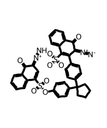 [N-]=[N+]=C1C(=O)c2ccccc2C(S(=O)(=O)[O-])=C1c1ccc(C2(c3ccc(OS(=O)(=O)C4=CC(=[N+]=N)C(=O)c5ccccc54)cc3)CCCC2)cc1